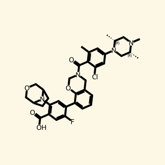 Cc1cc(N2C[C@@H](C)N(C)C[C@H]2C)cc(Cl)c1C(=O)N1COc2c(cccc2-c2cc(N3C4CCC3COC4)c(C(=O)O)cc2F)C1